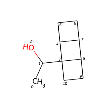 CC(O)C12C3C4C5C3C1C5C42